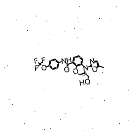 Cc1cnc(N2c3cccc(C(=O)Nc4ccc(OC(F)(F)F)cc4)c3OC[C@@H]2CO)o1